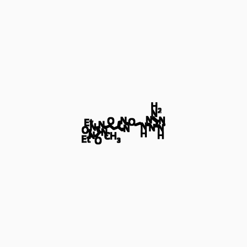 CCn1c(=O)c2c(nc(C(=O)Cc3cnc(OCCNc4nc(N)c5nc[nH]c5n4)nc3)n2C)n(CC)c1=O